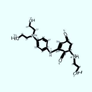 O=C1C=C(NCCO)C(=O)C(Nc2ccc(N(CCO)CCO)cc2)=C1